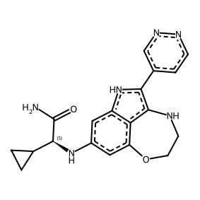 NC(=O)[C@@H](Nc1cc2c3c(c(-c4ccnnc4)[nH]c3c1)NCCO2)C1CC1